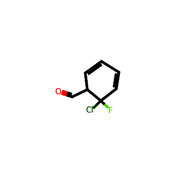 O=CC1C=CC=CC1(F)Cl